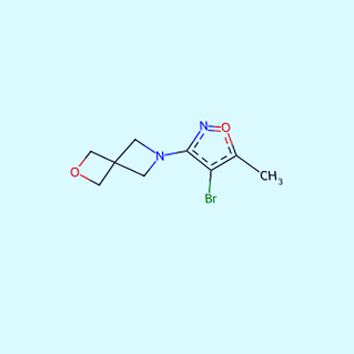 Cc1onc(N2CC3(COC3)C2)c1Br